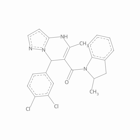 CC1=C(C(=O)N2c3ccccc3CC2C)C(c2ccc(Cl)c(Cl)c2)n2nccc2N1